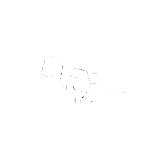 CCC[C@H]1CC[C@@H]2C[C@H](C3(C=O)CCCCC3)CC[C@H]2C1